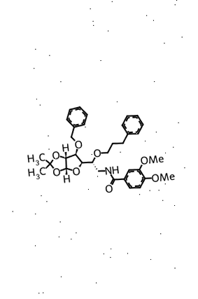 COc1ccc(C(=O)NC[C@@H](OCCCc2ccccc2)[C@H]2O[C@@H]3OC(C)(C)O[C@@H]3[C@H]2OCc2ccccc2)cc1OC